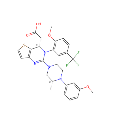 COc1cccc(N2CCN(C3=Nc4ccsc4[C@H](CC(=O)O)N3c3cc(C(F)(F)F)ccc3OC)C[C@H]2C)c1